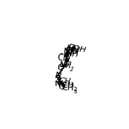 C=C(C)C(=O)n1cc(C)c2c(-c3ccc4c(c3)CCN(CCCCCCC(CCOc3ccc(-c5nc6[nH]c(O[C@@H]7CO[C@H]8[C@@H]7OC[C@H]8O)nc6cc5Cl)cc3)C(N)=O)C4)cncc21